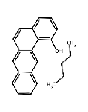 CCCCC.Oc1cccc2ccc3cc4ccccc4cc3c12